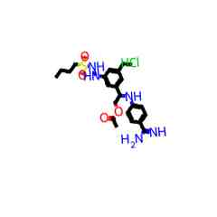 CCCCS(=O)(=O)NNc1cc(CC)cc(C(COC(C)=O)Nc2ccc(C(=N)N)cc2)c1.Cl